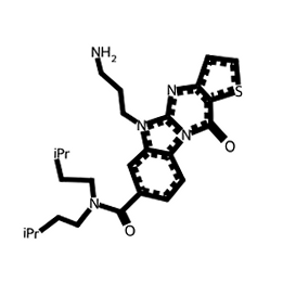 CC(C)CCN(CCC(C)C)C(=O)c1ccc2c(c1)n(CCCN)c1nc3ccsc3c(=O)n21